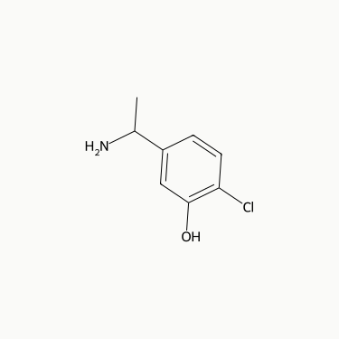 CC(N)c1ccc(Cl)c(O)c1